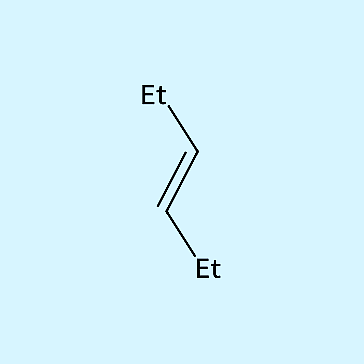 [CH]CC=CC[CH2]